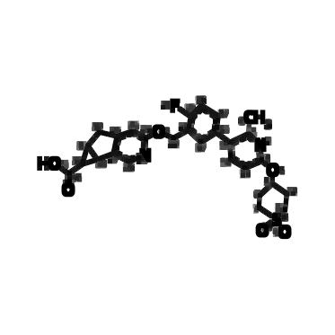 Cc1nc(OC2CCS(=O)(=O)CC2)ccc1-c1ccc(F)c(COc2cc3c(cn2)C2C(C3)C2C(=O)O)c1